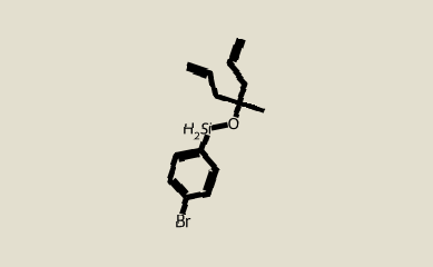 C=CCC(C)(CC=C)O[SiH2]c1ccc(Br)cc1